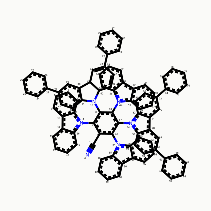 N#Cc1c(-n2c3ccccc3c3ccccc32)c(N2c3ccc(-c4ccccc4)cc3C3C=C(c4ccccc4)C=CC32)c(-n2c3ccccc3c3ccccc32)c(-n2c3ccc(-c4ccccc4)cc3c3cc(-c4ccccc4)ccc32)c1-n1c2ccccc2c2ccccc21